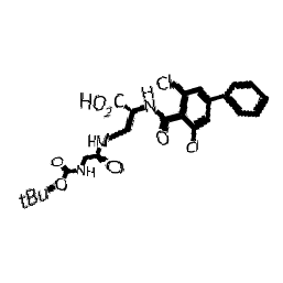 CC(C)(C)OC(=O)NCC(=O)NC[C@H](NC(=O)c1c(Cl)cc(-c2ccccc2)cc1Cl)C(=O)O